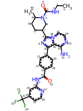 CCNC(=O)N1CC(c2nc(-c3ccc(C(=O)Nc4cc(C(F)(F)F)ccn4)cc3)c3c(N)nccn23)CCC1C